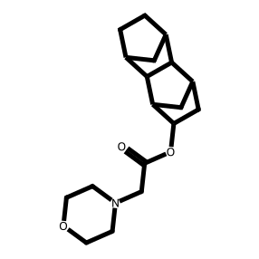 O=C(CN1CCOCC1)OC1CC2CC1C1C3CCC(C3)C21